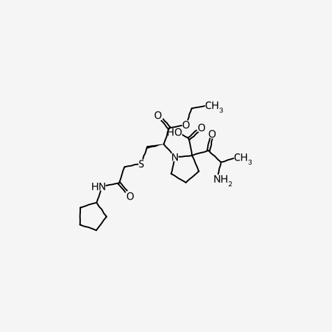 CCOC(=O)[C@H](CSCC(=O)NC1CCCC1)N1CCCC1(C(=O)O)C(=O)C(C)N